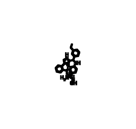 CCc1cccc(C(Nc2ccc(/C(N)=N/O)cc2)c2nc(-c3ccccc3C(N)=O)c[nH]2)c1